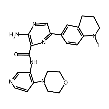 Nc1ncc(-c2ccc3c(c2)CCCN3I)nc1C(=O)Nc1cnccc1N1CCOCC1